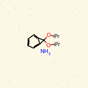 CC(C)OC1(OC(C)C)c2ccccc21.N